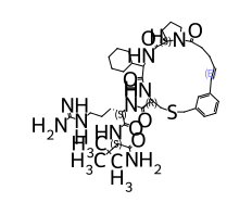 CC(C)(C)[C@H](NC(=O)[C@H](CCCNC(=N)N)NC(=O)[C@@H]1CSCc2cccc(c2)/C=C/CCC(=O)N2CCC[C@H]2C(=O)NC(C2CCCCC2)C(=O)N1)C(N)=O